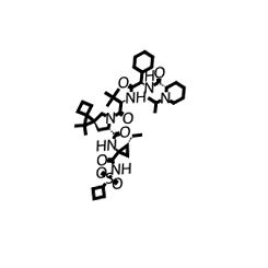 CC[C@@H]1C[C@]1(NC(=O)[C@@H]1C[C@@]2(CN1C(=O)[C@@H](NC(=O)[C@@H](NC(=O)[C@@H]1CCCCN1C(C)C)C1CCCCC1)C(C)(C)C)C(C)(C)C21CCC1)C(=O)NS(=O)(=O)C1CCC1